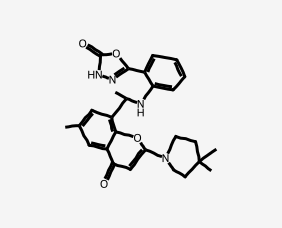 Cc1cc(C(C)Nc2ccccc2-c2n[nH]c(=O)o2)c2oc(N3CCC(C)(C)CC3)cc(=O)c2c1